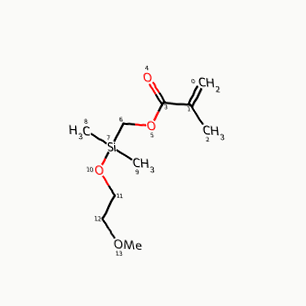 C=C(C)C(=O)OC[Si](C)(C)OCCOC